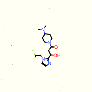 CN(C)C1CCN(C(=O)CC(O)c2nccn2CC(F)F)CC1